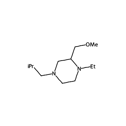 CCN1CCN(CC(C)C)CC1COC